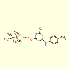 Cc1ccc(Nc2cc(Cl)nc(OCCO[Si](C)(C)C(C)(C)C)c2)cc1